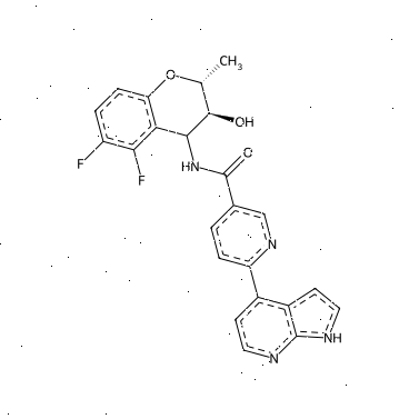 C[C@H]1Oc2ccc(F)c(F)c2C(NC(=O)c2ccc(-c3ccnc4[nH]ccc34)nc2)[C@@H]1O